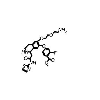 COC(=O)c1ccc(Oc2cc3c(cc2OCCOCCN)CCNC3CC(=O)Nc2nccs2)cc1F